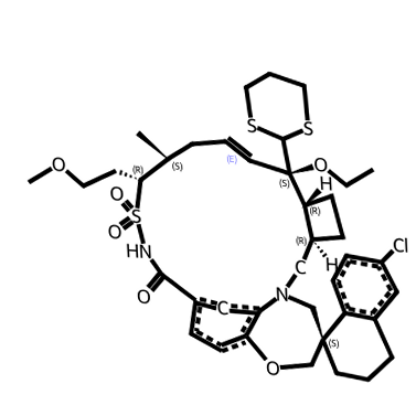 CCO[C@]1(C2SCCCS2)/C=C/C[C@H](C)[C@@H](CCOC)S(=O)(=O)NC(=O)c2ccc3c(c2)N(C[C@@H]2CC[C@H]21)C[C@@]1(CCCc2cc(Cl)ccc21)CO3